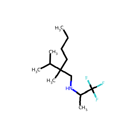 CCCCC(C)(CNC(C)C(F)(F)F)C(C)C